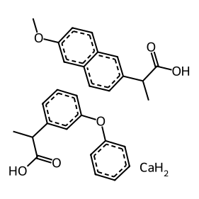 CC(C(=O)O)c1cccc(Oc2ccccc2)c1.COc1ccc2cc(C(C)C(=O)O)ccc2c1.[CaH2]